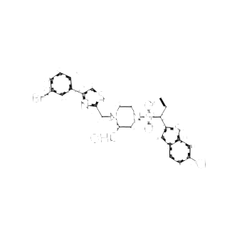 C=CC(c1cc2ccc(Cl)cc2s1)S(=O)(=O)N1CCN(Cc2nc(-c3cccc(Br)c3)cs2)C(C=O)C1